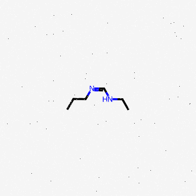 CCC/N=C\NCC